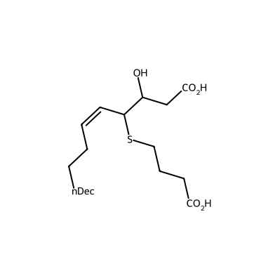 CCCCCCCCCCCC/C=C\C(SCCCC(=O)O)C(O)CC(=O)O